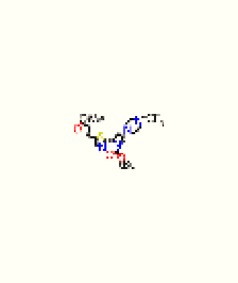 COC(=O)CCc1cnc([C@@H]2C[C@H](N3CCN(CC(F)(F)F)CC3)CN2C(=O)OC(C)(C)C)s1